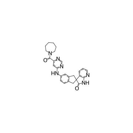 O=C(c1cc(Nc2ccc3c(c2)CC2(C3)C(=O)Nc3ncccc32)ncn1)N1CCCCCC1